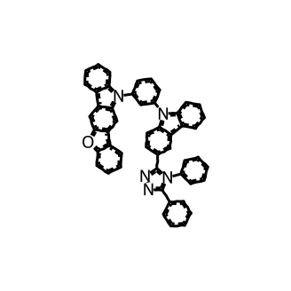 c1ccc(-c2nnc(-c3ccc4c(c3)c3ccccc3n4-c3cccc(-n4c5ccccc5c5cc6oc7ccccc7c6cc54)c3)n2-c2ccccc2)cc1